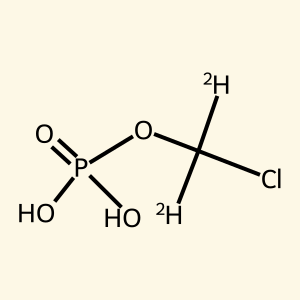 [2H]C([2H])(Cl)OP(=O)(O)O